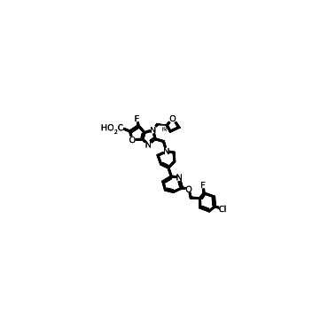 O=C(O)c1oc2nc(CN3CC=C(c4cccc(OCc5ccc(Cl)cc5F)n4)CC3)n(C[C@@H]3CCO3)c2c1F